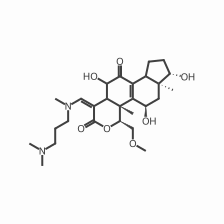 COC[C@H]1OC(=O)C(=CN(C)CCCN(C)C)C2C(O)C(=O)C3=C([C@H](O)C[C@@]4(C)C3CC[C@@H]4O)[C@@]21C